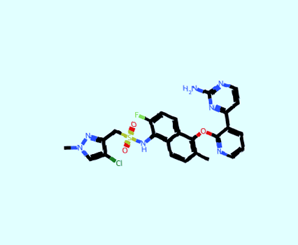 Cc1ccc2c(NS(=O)(=O)Cc3nn(C)cc3Cl)c(F)ccc2c1Oc1ncccc1-c1ccnc(N)n1